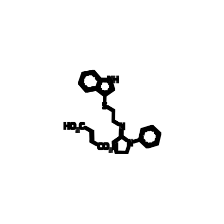 O=C(O)/C=C/C(=O)O.c1ccc(N2CCC/C2=N\CCSc2c[nH]c3ccccc23)cc1